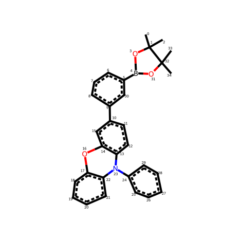 CC1(C)OB(c2cccc(-c3ccc4c(c3)Oc3ccccc3N4c3ccccc3)c2)OC1(C)C